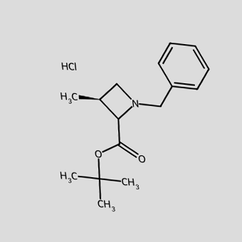 C[C@H]1CN(Cc2ccccc2)C1C(=O)OC(C)(C)C.Cl